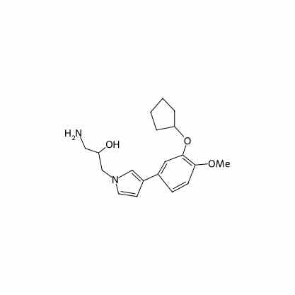 COc1ccc(-c2ccn(CC(O)CN)c2)cc1OC1CCCC1